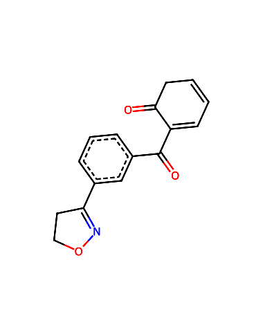 O=C1CC=CC=C1C(=O)c1cccc(C2=NOCC2)c1